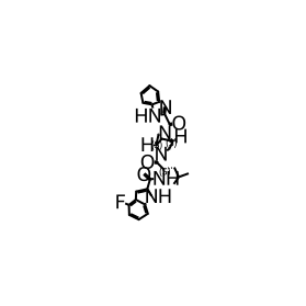 CC(C)C[C@H](NC(=O)c1cc2c(F)cccc2[nH]1)C(=O)N1C[C@@H]2C[C@H]1CN2C(=O)c1nc2ccccc2[nH]1